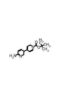 CC(C)(C)OC(=O)N1C=CC(C2C=CC(N)=NC2)=CC1